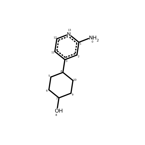 Nc1cc(C2CCC(O)CC2)ccn1